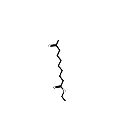 CCOC(=O)CCCCCCCC(C)=O